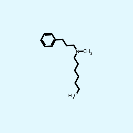 CCCCCCCN(C)CCCc1ccccc1